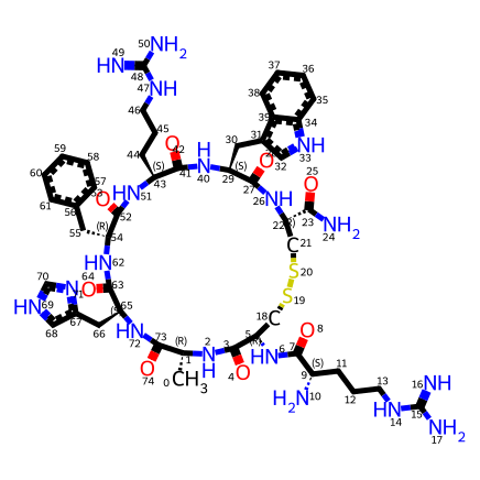 C[C@H]1NC(=O)[C@@H](NC(=O)[C@@H](N)CCCNC(=N)N)CSSC[C@@H](C(N)=O)NC(=O)[C@H](Cc2c[nH]c3ccccc23)NC(=O)[C@H](CCCNC(=N)N)NC(=O)[C@@H](Cc2ccccc2)NC(=O)[C@H](Cc2c[nH]cn2)NC1=O